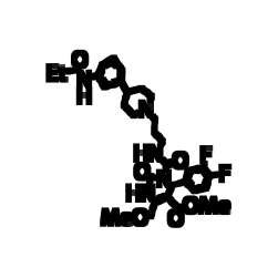 CCC(=O)Nc1cccc(C2CCN(CCCNC(=O)N3C(=O)NC(COC)=C(C(=O)OC)[C@@H]3c3ccc(F)c(F)c3)CC2)c1